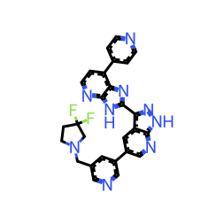 FC1(F)CCN(Cc2cncc(-c3cnc4[nH]nc(-c5nc6c(-c7ccncc7)ccnc6[nH]5)c4c3)c2)C1